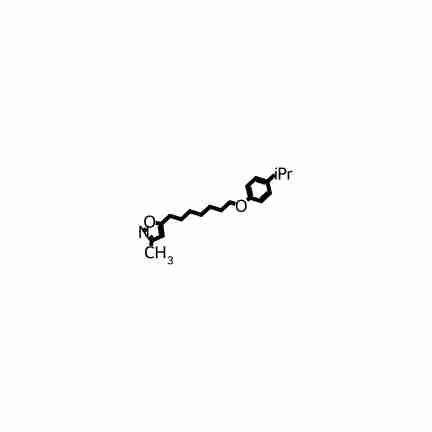 Cc1cc(CCCCCCCOc2ccc(C(C)C)cc2)on1